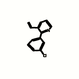 C=Cc1cccnc1-c1cccc(Cl)c1